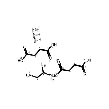 NC[CH](N)[Na].O=C(O)CCC(=O)O.O=C(O)CCC(=O)O.[NaH].[NaH].[NaH]